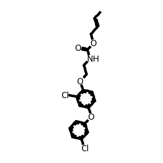 C/C=C/COC(=O)NCCOc1ccc(Oc2cccc(Cl)c2)cc1Cl